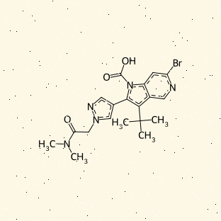 CN(C)C(=O)Cn1cc(-c2c(C(C)(C)C)c3cnc(Br)cc3n2C(=O)O)cn1